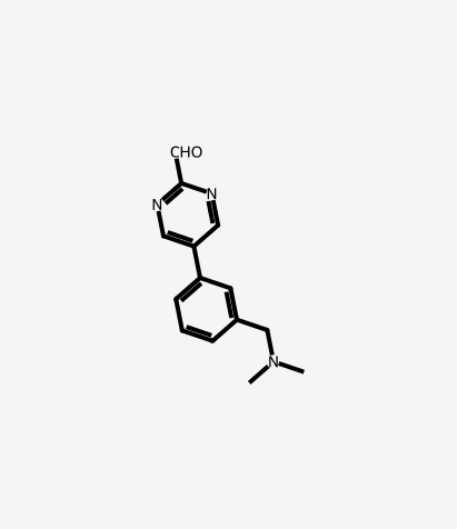 CN(C)Cc1cccc(-c2cnc(C=O)nc2)c1